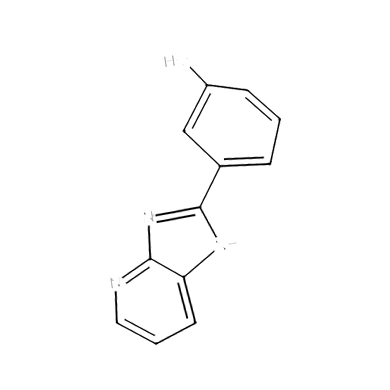 Oc1cccc(-c2nc3ncccc3[nH]2)c1